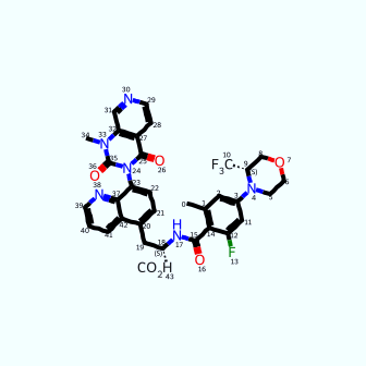 Cc1cc(N2CCOC[C@H]2C(F)(F)F)cc(F)c1C(=O)N[C@@H](Cc1ccc(-n2c(=O)c3ccncc3n(C)c2=O)c2ncccc12)C(=O)O